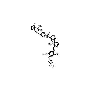 COc1cc(/C=C/c2cccc(-c3cccc(NC(=O)c4ccc(CN(C[C@@H]5CCC(=O)N5)C(=O)OC(C)(C)C)cn4)c3C)c2C)c(C(F)(F)F)cc1CN1CC[C@@H](C(=O)O)C1